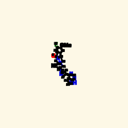 COc1ccc(C(=O)N2CCN(CC(CC#N)n3cc(-c4ncnc5[nH]ccc45)cn3)CC2)cc1F